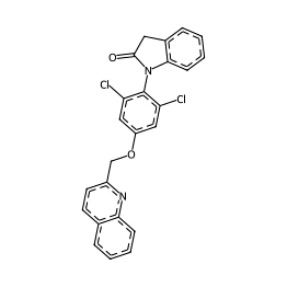 O=C1Cc2ccccc2N1c1c(Cl)cc(OCc2ccc3ccccc3n2)cc1Cl